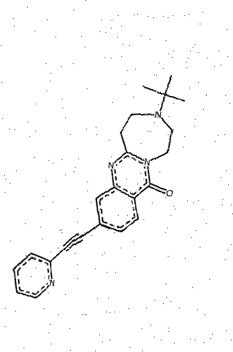 CC(C)(C)N1CCc2nc3cc(C#Cc4ccccn4)ccc3c(=O)n2CC1